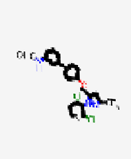 O=CNc1cccc(-c2ccc(OCc3cc(C(F)(F)F)nn3-c3c(Cl)cccc3Cl)cc2)c1